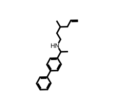 C=CCC(C)CCNC(C)c1ccc(-c2ccccc2)cc1